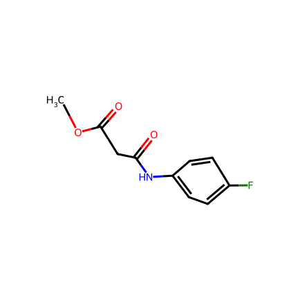 COC(=O)CC(=O)Nc1ccc(F)cc1